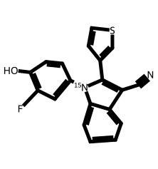 N#Cc1c(-c2ccsc2)[15n](-c2ccc(O)c(F)c2)c2ccccc12